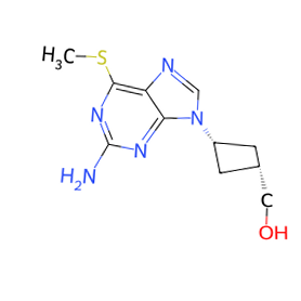 CSc1nc(N)nc2c1ncn2[C@H]1C[C@@H](CO)C1